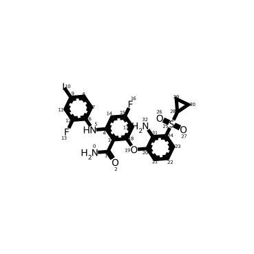 NC(=O)c1c(Nc2ccc(I)cc2F)cc(F)cc1Oc1cccc(S(=O)(=O)C2CC2)c1N